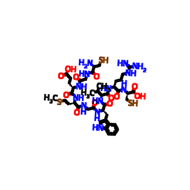 CSCC[C@H](NC(=O)[C@H](CCC(=O)O)NC(=O)CNC(=O)[C@@H](N)CS)C(=O)NCC(=O)N[C@@H](Cc1c[nH]c2ccccc12)C(=O)N[C@H](C(=O)N[C@@H](CCCNC(=N)N)C(=O)N[C@@H](CS)C(=O)O)C(C)C